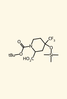 CC(C)(C)OC(=O)N1CCC(O[Si](C)(C)C)(C(F)(F)F)CC1C(=O)O